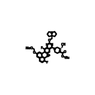 C#Cc1c(F)ccc2cc(OCOC)cc(-c3c(F)cc4c(N5CCN(C(=O)OC(C)(C)C)[C@@H](CC#N)C5)nc(OCC56CCCN5CCC6)nc4c3F)c12